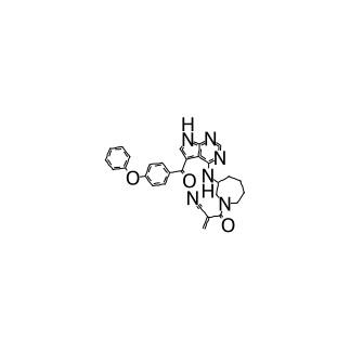 C=C(C#N)C(=O)N1CCCCC(Nc2ncnc3[nH]cc(C(=O)c4ccc(Oc5ccccc5)cc4)c23)C1